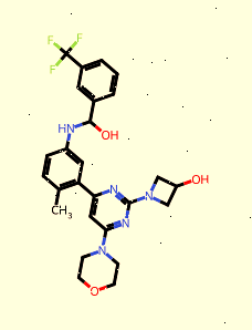 Cc1ccc(NC(O)c2cccc(C(F)(F)F)c2)cc1-c1cc(N2CCOCC2)nc(N2CC(O)C2)n1